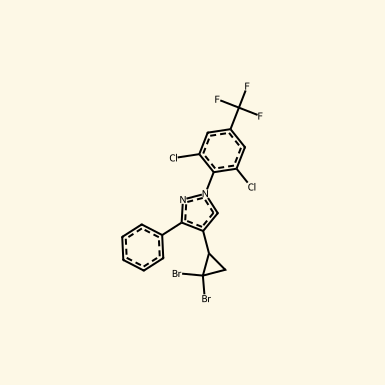 FC(F)(F)c1cc(Cl)c(-n2cc(C3CC3(Br)Br)c(-c3ccccc3)n2)c(Cl)c1